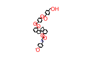 COc1ccc(/C=C/C(=O)Oc2cccc3c2[C@@]2(CC3)CCc3cccc(OC(=O)c4ccc(OC(=O)c5ccc(CO)cc5)cc4)c32)cc1